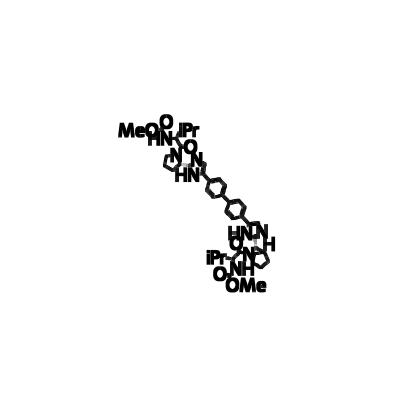 COC(=O)N[C@H](C(=O)N1CCC[C@H]1c1ncc(-c2ccc(-c3ccc(-c4cnc([C@@H]5[C@H]6CCC(C6)N5C(=O)[C@@H](NC(=O)OC)C(C)C)[nH]4)cc3)cc2)[nH]1)C(C)C